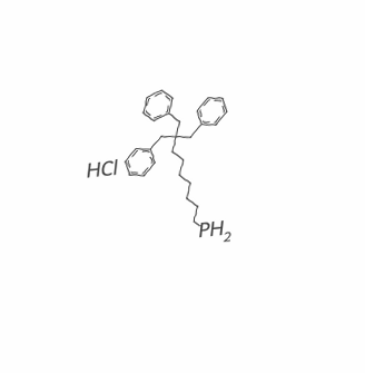 Cl.PCCCCCCCC(Cc1ccccc1)(Cc1ccccc1)Cc1ccccc1